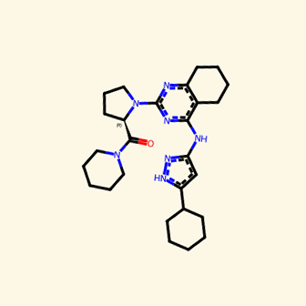 O=C([C@H]1CCCN1c1nc2c(c(Nc3cc(C4CCCCC4)[nH]n3)n1)CCCC2)N1CCCCC1